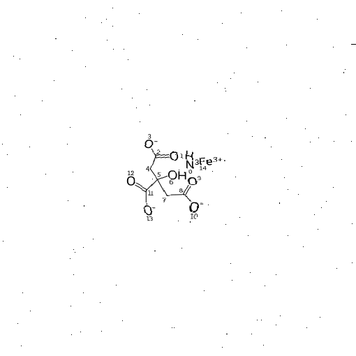 N.O=C([O-])CC(O)(CC(=O)[O-])C(=O)[O-].[Fe+3]